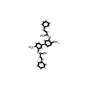 Cc1ccc(-c2ccc(N)c(OC(O)/C=C/c3ccccc3)c2)cc1OC(O)/C=C/c1ccccc1